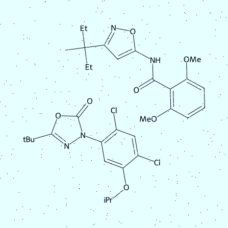 CC(C)Oc1cc(-n2nc(C(C)(C)C)oc2=O)c(Cl)cc1Cl.CCC(C)(CC)c1cc(NC(=O)c2c(OC)cccc2OC)on1